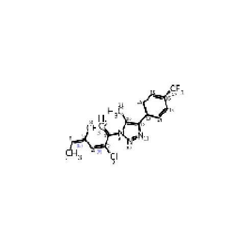 C=C(/C(Cl)=C\C(=C/C)C(F)(F)F)n1nnc(C2C=CC(C(F)(F)F)=CC2)c1C